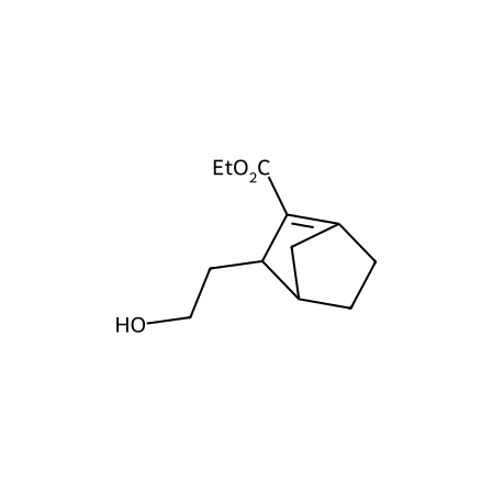 CCOC(=O)C1=C2CCC(C2)C1CCO